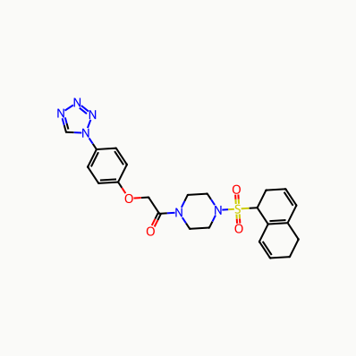 O=C(COc1ccc(-n2cnnn2)cc1)N1CCN(S(=O)(=O)C2CC=CC3=C2C=CCC3)CC1